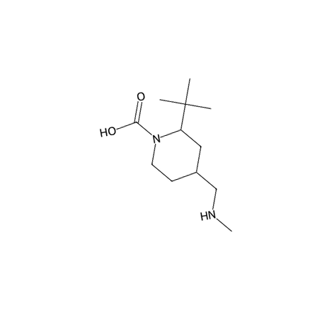 CNCC1CCN(C(=O)O)C(C(C)(C)C)C1